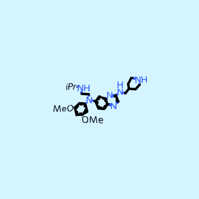 COc1cc(OC)cc(N(CCNC(C)C)c2ccc3ncc(NCC4CCNCC4)nc3c2)c1